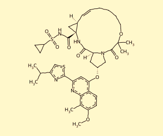 COc1ccc2c(O[C@@H]3C[C@H]4C(=O)N[C@]5(C(=O)NS(=O)(=O)C6CC6)C[C@H]5/C=C\CCCCOC(C)(C)C(=O)N4C3)cc(-c3nc(C(C)C)cs3)nc2c1C